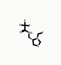 O=C(NC[C@@H]1CSCN1CF)C(F)(F)F